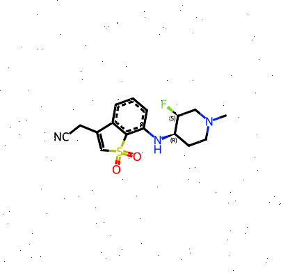 CN1CC[C@@H](Nc2cccc3c2S(=O)(=O)C=C3CC#N)[C@@H](F)C1